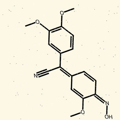 COC1=CC(=C(C#N)c2ccc(OC)c(OC)c2)C=CC1=NO